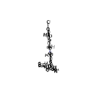 Cc1cc(CN(CCNC(=O)OCCOCCOCCNC(=O)OC/C=C/COC(=O)NCCOCCOCCOC(=O)NCCOCCOCCCCCCCl)C(=O)CCNCC(O)COc2cccc3ccccc23)ccc1N=[N+]=[N-]